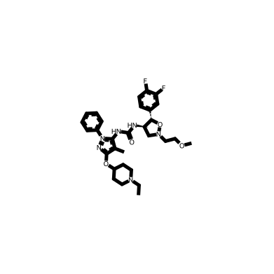 CCN1CCC(Oc2nn(-c3ccccc3)c(NC(=O)N[C@@H]3CN(CCOC)O[C@H]3c3ccc(F)c(F)c3)c2C)CC1